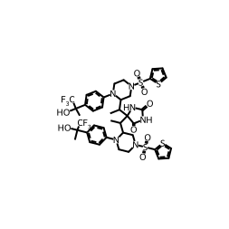 CC(C1CN(S(=O)(=O)c2cccs2)CCN1c1ccc(C(C)(O)C(F)(F)F)cc1)C1(C(C)C2CN(S(=O)(=O)c3cccs3)CCN2c2ccc(C(C)(O)C(F)(F)F)cc2)NC(=O)NC1=O